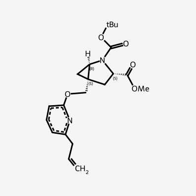 C=CCc1cccc(OC[C@@]23C[C@@H](C(=O)OC)N(C(=O)OC(C)(C)C)[C@@H]2C3)n1